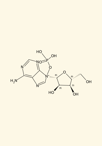 Nc1ncnc2c1N=C[N+]2(OP(=O)(O)O)[C@@H]1O[C@H](CO)[C@@H](O)[C@H]1O